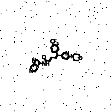 O=C(/C=C/C=C(\c1ccc(C(F)(F)F)cc1)c1ccc(N2CCOCC2)nc1)Nc1cnc2cnccn12